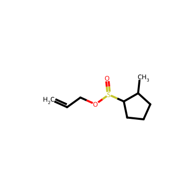 C=CCOS(=O)C1CCCC1C